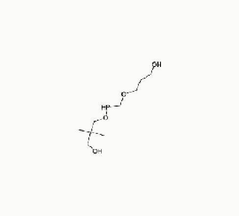 CC(C)(CO)COPCOCCCO